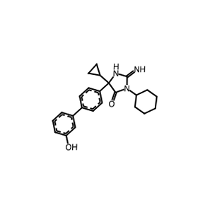 N=C1NC(c2ccc(-c3cccc(O)c3)cc2)(C2CC2)C(=O)N1C1CCCCC1